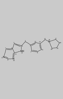 c1cc(Cc2cc3cncnc3[nH]2)cc(CN2CCCC2)c1